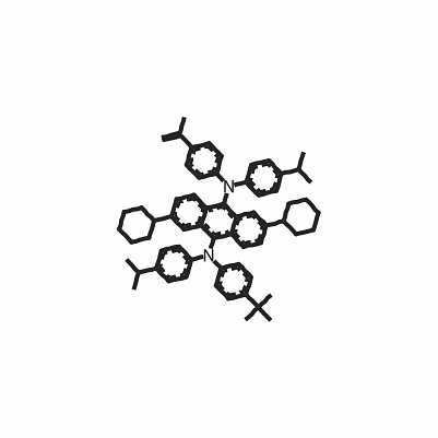 C=C(C)c1ccc(N(c2ccc(C(C)C)cc2)c2c3ccc(C4CCCCC4)cc3c(N(c3ccc(C(C)C)cc3)c3ccc(C(C)(C)C)cc3)c3ccc(C4CCCCC4)cc23)cc1